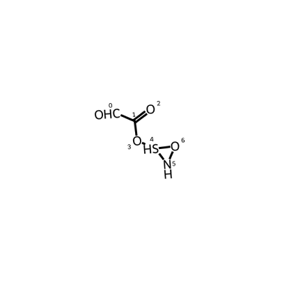 O=CC(=O)O[SH]1NO1